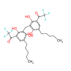 CCCCCc1cc(C(=O)C(F)(F)F)c(O)c(Cc2c(O)c(CCCCC)cc(C(=O)C(F)(F)F)c2O)c1O